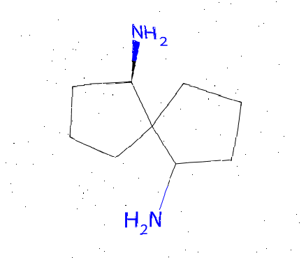 NC1CCCC12CCC[C@H]2N